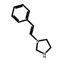 C(=CN1CCNC1)c1ccccc1